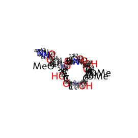 CC[C@@H]1/C=C(\C)[C@@H](O)[C@H](C)C[C@H](OC)[C@H]2O[C@@](O)(C(=O)C(=O)N3CCCC[C@H]3C(=O)O[C@H](/C(C)=C/[C@@H]3CC[C@@H](OC(=O)N4CCN(C)CC4)[C@H](OC)C3)[C@H](C)[C@@H](O)CC1=O)[C@H](C)C[C@@H]2OC